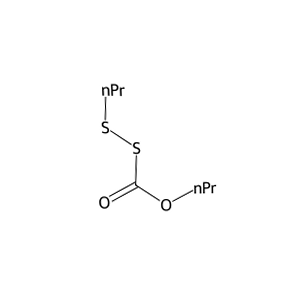 [CH2]CCOC(=O)SSCCC